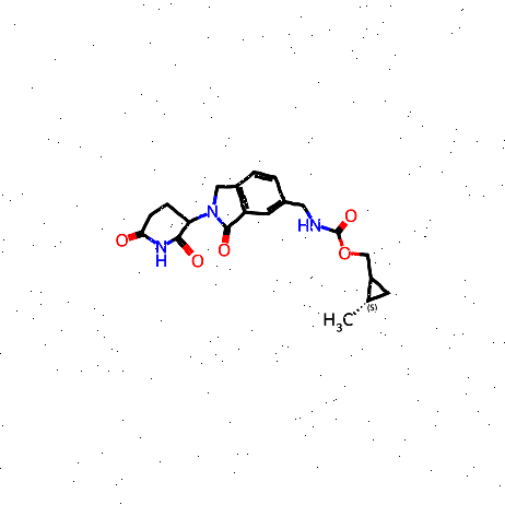 C[C@H]1CC1COC(=O)NCc1ccc2c(c1)C(=O)N(C1CCC(=O)NC1=O)C2